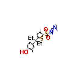 CCC(CC)(c1ccc(O)c(C)c1)c1cc(C)c(S(=O)(=O)/N=C/N(C)C)s1